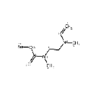 C=CN(C)CCN(C)C(=O)OC(C)(C)C